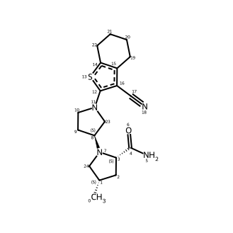 C[C@H]1C[C@@H](C(N)=O)N([C@H]2CCN(c3sc4c(c3C#N)CCCC4)C2)C1